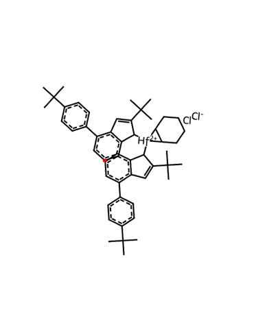 CC(C)(C)C1=Cc2c(-c3ccc(C(C)(C)C)cc3)cccc2[CH]1[Hf+2]1([CH]2C(C(C)(C)C)=Cc3c(-c4ccc(C(C)(C)C)cc4)cccc32)[CH]2CCCC[CH]21.[Cl-].[Cl-]